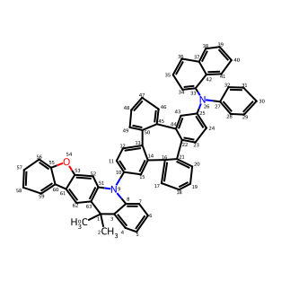 CC1(C)c2ccccc2N(c2ccc3c(c2)-c2ccccc2-c2ccc(N(c4ccccc4)c4cccc5ccccc45)cc2-c2ccccc2-3)c2cc3oc4ccccc4c3cc21